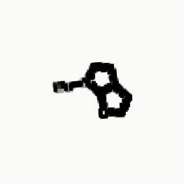 CC(C)(C)n1ccc2ccoc21